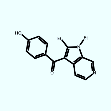 CCc1c(C(=O)c2ccc(O)cc2)c2ccncc2n1CC